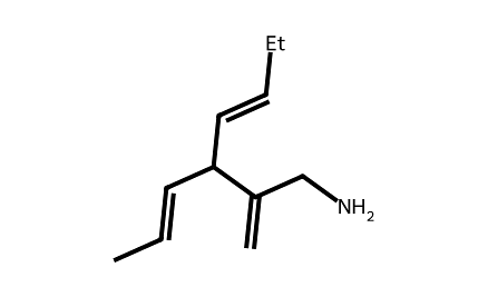 C=C(CN)C(C=CC)C=CCC